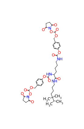 CC(C)C(C)(C)CCCCNC(=O)C(CCCCNC(=O)Oc1ccc(COC(=O)ON2C(=O)CCC2=O)cc1)NC(=O)Oc1ccc(COC(=O)ON2C(=O)CCC2=O)cc1